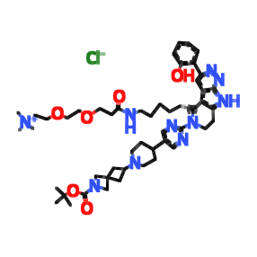 CC(C)(C)OC(=O)N1CC2(CC(N3CCC(c4cnc(N5CCc6[nH]c7nnc(-c8ccccc8O)cc7c6[C@H]5CCCCCNC(=O)CCOCCOCC[N+](C)(C)C)nc4)CC3)C2)C1.[Cl-]